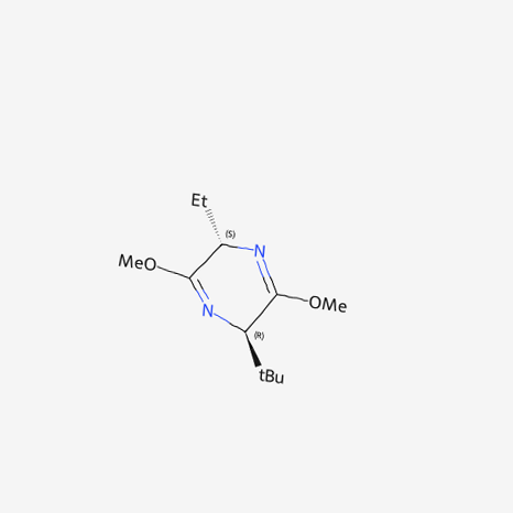 CC[C@@H]1N=C(OC)[C@@H](C(C)(C)C)N=C1OC